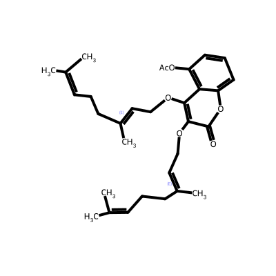 CC(=O)Oc1cccc2oc(=O)c(OC/C=C(\C)CCC=C(C)C)c(OC/C=C(\C)CCC=C(C)C)c12